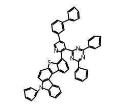 c1ccc(-c2cccc(-c3cnc(-c4cccc5c4sc4ccc6c(c7ccccc7n6-c6ccccc6)c45)c(-c4nc(-c5ccccc5)nc(-c5ccccc5)n4)c3)c2)cc1